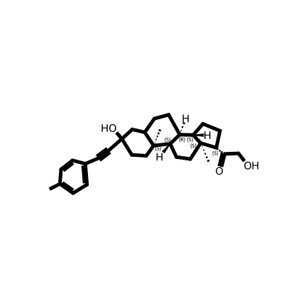 Cc1ccc(C#CC2(O)CC[C@@]3(C)C(CC[C@H]4[C@@H]5CC[C@H](C(=O)CO)[C@@]5(C)CC[C@@H]43)C2)cc1